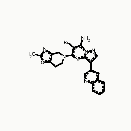 Cc1nc2c(o1)CCN(c1nc3c(-c4cnc5ccccc5c4)cnn3c(N)c1Br)C2